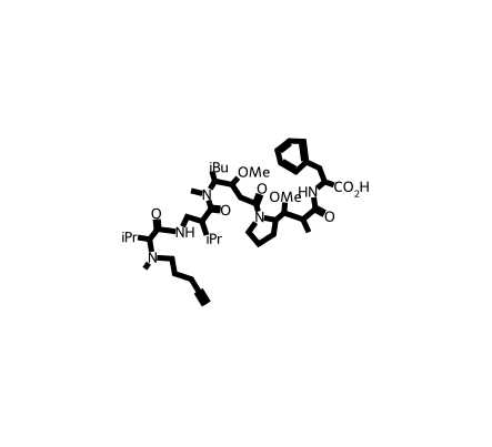 C#CCCCN(C)C(C(=O)NCC(C(=O)N(C)C(C(C)CC)C(CC(=O)N1CCCC1C(OC)C(C)C(=O)NC(Cc1ccccc1)C(=O)O)OC)C(C)C)C(C)C